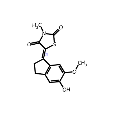 COc1cc2c(cc1O)CC/C2=C1/SC(=O)N(C)C1=O